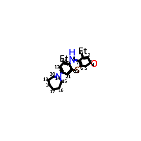 CCC1=CC(=O)CC2=C1Nc1c(CC)cc(N3CCCCCC3)cc1S2